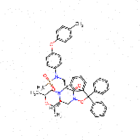 C=CCN(OC(c1ccccc1)(c1ccccc1)c1ccccc1)C(=O)[C@H](CN(c1ccc(Oc2ccc(C)cc2)cc1)S(C)(=O)=O)N1CC(C)OC(C)C1